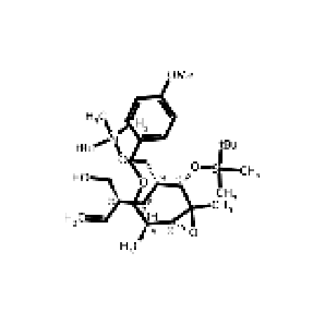 C=C[C@@H](CO)[C@@H](O)[C@H](CO[Si](C)(C)C(C)(C)C)[C@H](O[Si](C)(C)C(C)(C)C)C1(C)O[C@@H]1[C@@H](C)COCc1ccc(OC)cc1